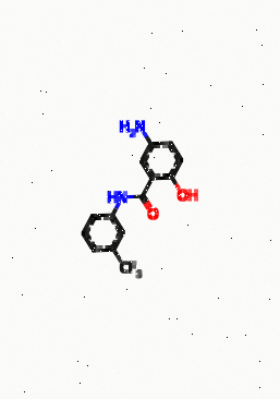 Nc1ccc(O)c(C(=O)Nc2cccc(C(F)(F)F)c2)c1